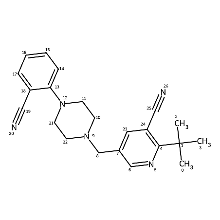 CC(C)(C)c1ncc(CN2CCN(c3ccccc3C#N)CC2)cc1C#N